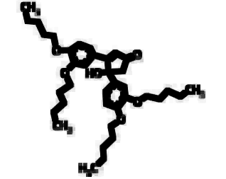 CCCCCOc1ccc(C2=CC(=O)CC2(O)c2ccc(OCCCCC)c(OCCCCC)c2)cc1OCCCCC